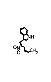 C/C=C\C/C(=C\c1c[nH]c2ccccc12)[N+](=O)[O-]